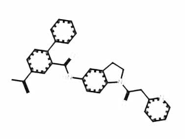 C=C(C)c1ccc(-c2ccccc2)c(C(=O)Nc2ccc3c(c2)CCN3C(=O)Cc2ccccn2)c1